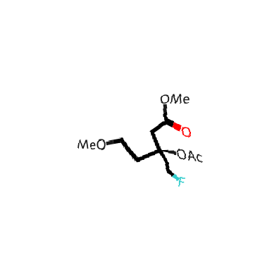 COCC[C@@](CF)(CC(=O)OC)OC(C)=O